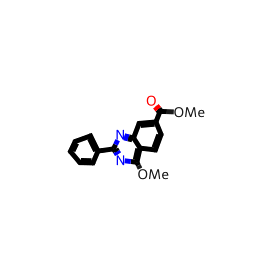 COC(=O)c1ccc2c(OC)nc(-c3ccccc3)nc2c1